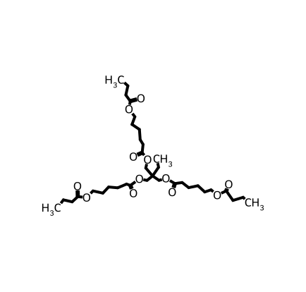 CCCC(=O)OCCCCCC(=O)OCC(CC)(COC(=O)CCCCCOC(=O)CCC)COC(=O)CCCCCOC(=O)CCC